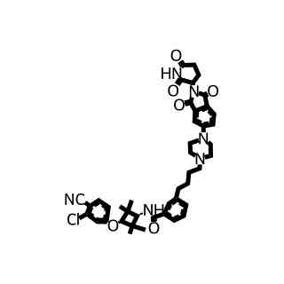 CC1(C)[C@H](NC(=O)c2cccc(CCCCN3CCN(c4ccc5c(c4)C(=O)N(C4CCC(=O)NC4=O)C5=O)CC3)c2)C(C)(C)[C@H]1Oc1ccc(C#N)c(Cl)c1